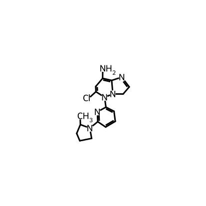 CC1CCCN1c1cccc(N2C(Cl)=CC(N)=C3N=CCN32)n1